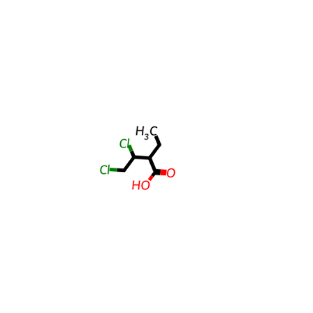 CCC(C(=O)O)C(Cl)CCl